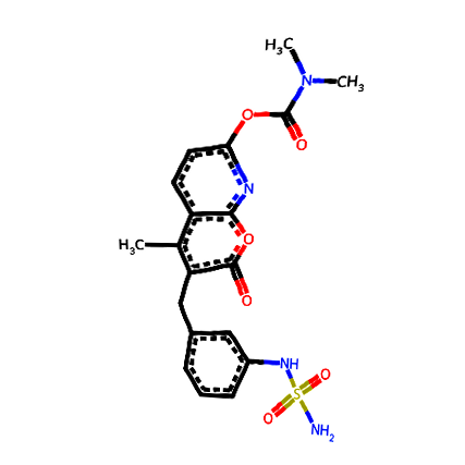 Cc1c(Cc2cccc(NS(N)(=O)=O)c2)c(=O)oc2nc(OC(=O)N(C)C)ccc12